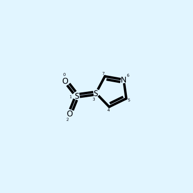 O=S(=O)=S1C=CN=C1